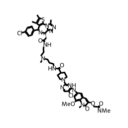 CNC(=O)COc1cc2cc(Nc3nc(N4CCC(C(=O)NCCCN(C)CCCNC(=O)C[C@@H]5N=C(c6ccc(Cl)cc6)c6c(sc(C)c6C)-n6c(C)nnc65)CC4)ncc3Cl)cc(OC)c2n(C)c1=O